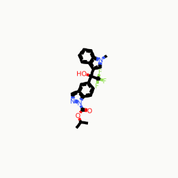 CC(C)OC(=O)n1ncc2cc(C(O)(c3cn(C)c4ccccc34)C(F)(F)F)ccc21